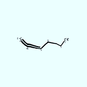 CCCCC=C=S